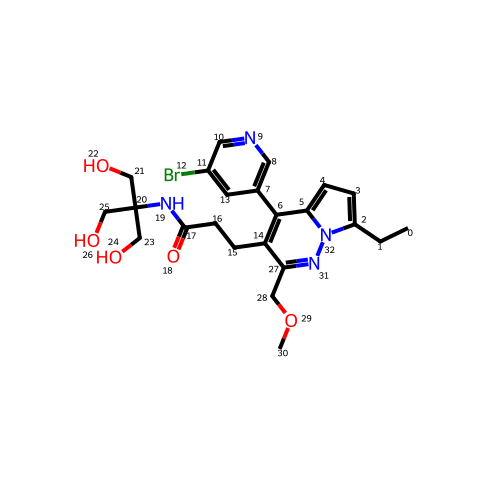 CCc1ccc2c(-c3cncc(Br)c3)c(CCC(=O)NC(CO)(CO)CO)c(COC)nn12